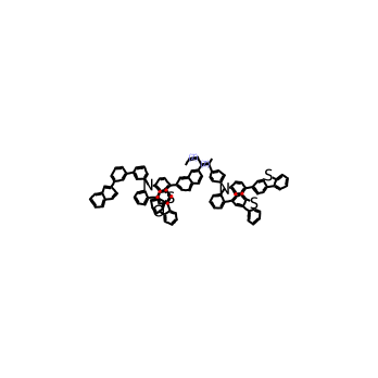 C/C=C\C(=C(/C)c1ccc(N(c2ccc(-c3ccc4c(c3)sc3ccccc34)cc2)c2ccccc2-c2ccc3sc4ccccc4c3c2)cc1)c1ccc2ccc(-c3ccc(N(c4cccc(-c5cccc(-c6ccc7ccccc7c6)c5)c4)c4ccccc4-c4cccc5c4oc4ccccc45)c4c3sc3ccccc34)cc2c1